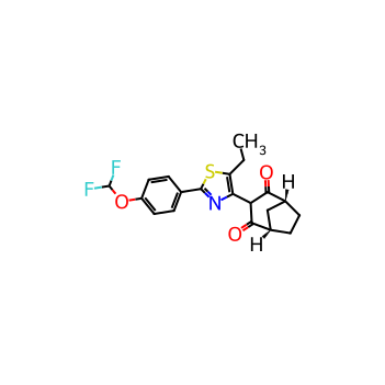 CCc1sc(-c2ccc(OC(F)F)cc2)nc1C1C(=O)[C@@H]2CC[C@@H](C2)C1=O